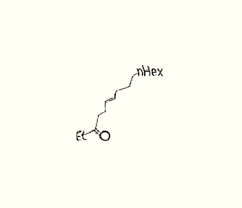 CCCCCCCCC/C=C/CCC(=O)CC